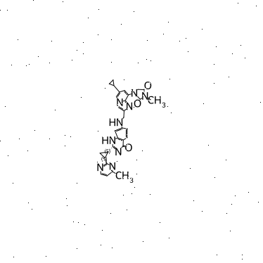 Cc1ccnc([C@H]2C[C@@H]2c2nc(=O)c3ccc(NCc4cn5cc(C6CC6)cc(N6CC(=O)N(C)C6=O)c5n4)cc3[nH]2)n1